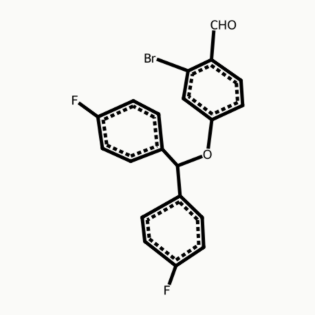 O=Cc1ccc(OC(c2ccc(F)cc2)c2ccc(F)cc2)cc1Br